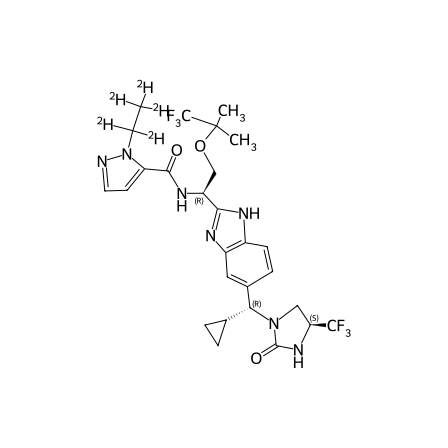 [2H]C([2H])([2H])C([2H])([2H])n1nccc1C(=O)N[C@@H](COC(C)(C)C(F)(F)F)c1nc2cc([C@@H](C3CC3)N3C[C@@H](C(F)(F)F)NC3=O)ccc2[nH]1